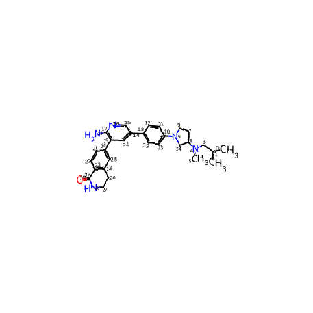 CC(C)CN(C)C1CCN(c2ccc(-c3cnc(N)c(-c4ccc5c(c4)CCNC5=O)c3)cc2)C1